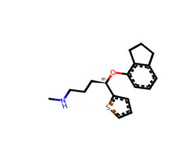 CNCCC[C@@H](Oc1cccc2c1CCC2)c1cccs1